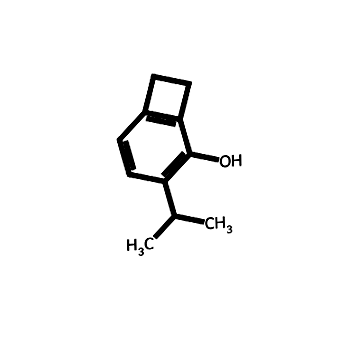 CC(C)c1ccc2c(c1O)CC2